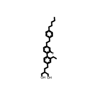 CCCCCc1ccc(CCc2ccc(-c3ccc(CCC(CO)CO)cc3CC)c(F)c2)cc1